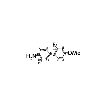 COc1ccc(-c2ccc(N)c(C)c2)c(F)c1